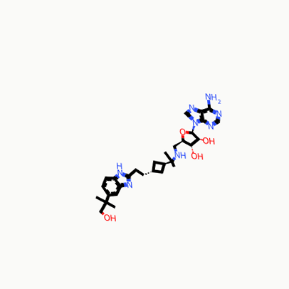 CC(C)(CO)c1ccc2[nH]c(CC[C@H]3C[C@H](C(C)(C)NC[C@H]4O[C@@H](n5cnc6c(N)ncnc65)[C@H](O)[C@@H]4O)C3)nc2c1